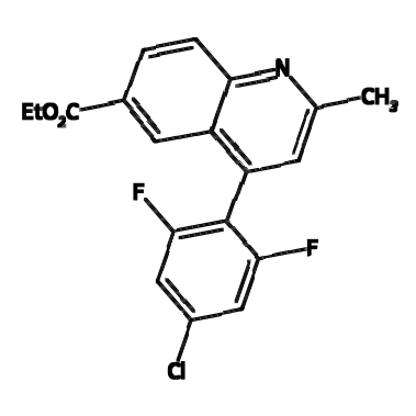 CCOC(=O)c1ccc2nc(C)cc(-c3c(F)cc(Cl)cc3F)c2c1